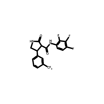 O=C1NCC(c2cccc(C(F)(F)F)c2)C1C(=O)Nc1ccc(F)c(F)c1F